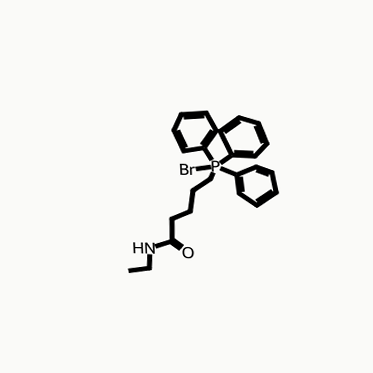 CCNC(=O)CCCCP(Br)(c1ccccc1)(c1ccccc1)c1ccccc1